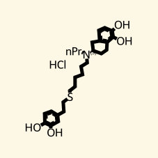 CCCN(CCCCCCSCCc1ccc(O)c(O)c1)[C@H]1CCc2c(ccc(O)c2O)C1.Cl